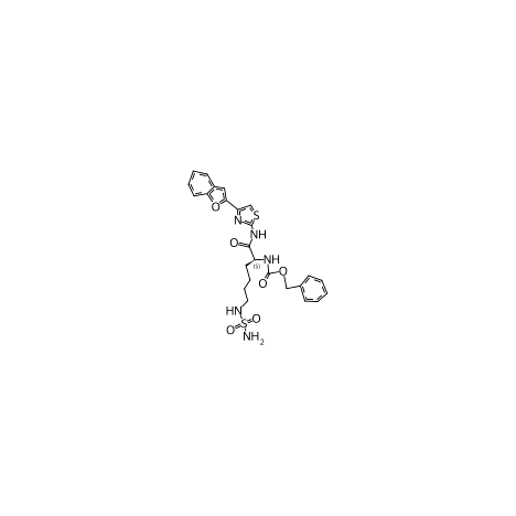 NS(=O)(=O)NCCCC[C@H](NC(=O)OCc1ccccc1)C(=O)Nc1nc(-c2cc3ccccc3o2)cs1